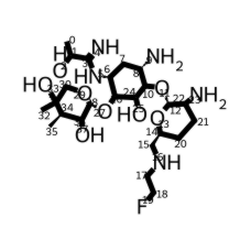 CC(O)C(=N)N[C@@H]1C[C@H](N)C(O[C@H]2O[C@H](CNCCF)CCC2N)C(O)C1O[C@H]1OCC(C)(O)[C@H](C)C1O